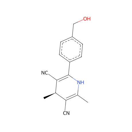 CC1=C(C#N)[C@@H](C)C(C#N)=C(c2ccc(CO)cc2)N1